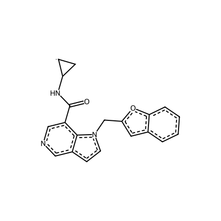 O=C(NC1[CH]C1)c1cncc2ccn(Cc3cc4ccccc4o3)c12